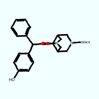 CCCCCCN1CC2CN(C(c3ccccc3)c3ccc(O)cc3)CC(C1)C21CCCCC1